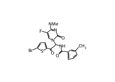 CNc1nc(=O)n(C(NC(=O)c2cccc(C)c2)C(=O)c2ccc(Br)s2)cc1F